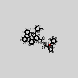 Cc1cc(-c2nn(C(c3ccccc3)(c3ccccc3)c3ccccc3)c3ccc(C(=O)NNC(=O)C4CCC5CCC4N5Cc4ccccc4F)cc23)ccn1